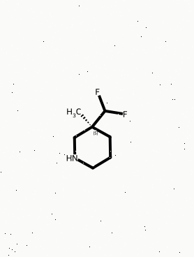 C[C@]1(C(F)F)CCCNC1